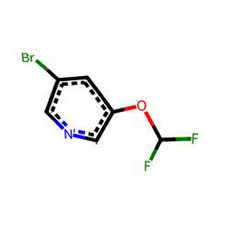 FC(F)Oc1[c]ncc(Br)c1